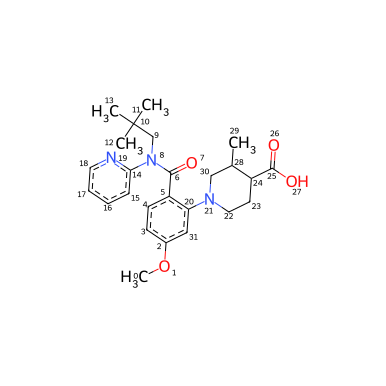 COc1ccc(C(=O)N(CC(C)(C)C)c2ccccn2)c(N2CCC(C(=O)O)C(C)C2)c1